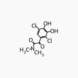 CN(C)C(=O)C(=O)c1cc(Cl)c(O)c(O)c1Cl